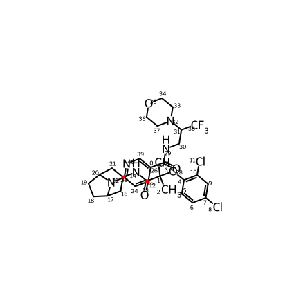 CC(C)(Oc1ccc(Cl)cc1Cl)C(=O)NC1CC2CCC(C1)N2c1ccc(C(=O)NCC(N2CCOCC2)C(F)(F)F)cn1